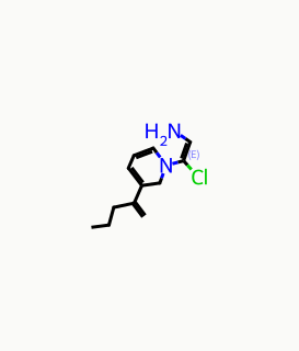 C=C(CCC)C1=CC=CN(/C(Cl)=C\N)C1